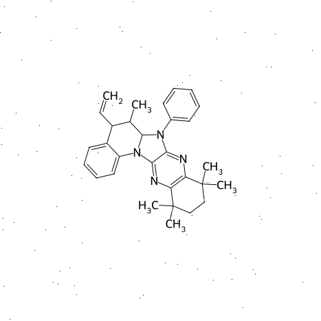 C=CC1c2ccccc2N2c3nc4c(nc3N(c3ccccc3)C2C1C)C(C)(C)CCC4(C)C